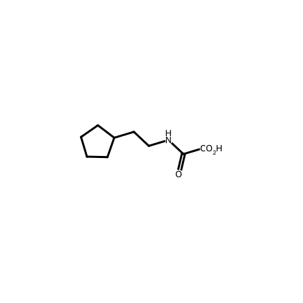 O=C(O)C(=O)NCCC1CCCC1